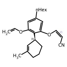 C=COc1cc(CCCCCC)cc(O/C=C\C#N)c1[C@@H]1C=C(C)CCC1